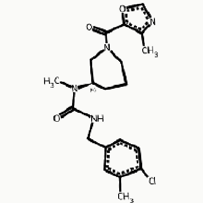 Cc1cc(CNC(=O)N(C)[C@@H]2CCCN(C(=O)c3ocnc3C)C2)ccc1Cl